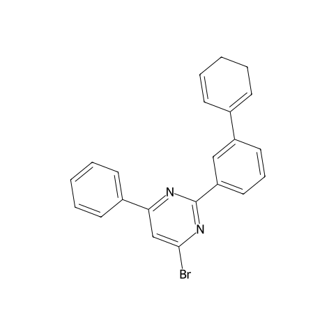 Brc1cc(-c2ccccc2)nc(-c2cccc(C3=CCCC=C3)c2)n1